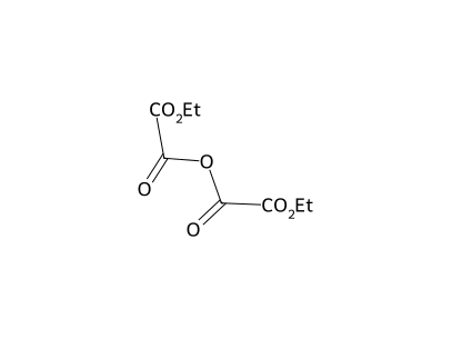 CCOC(=O)C(=O)OC(=O)C(=O)OCC